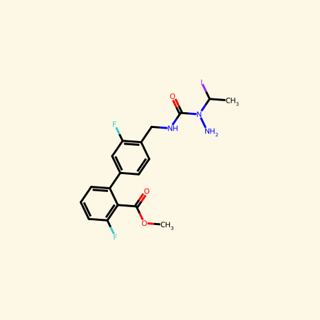 COC(=O)c1c(F)cccc1-c1ccc(CNC(=O)N(N)C(C)I)c(F)c1